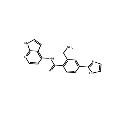 NCc1cc(-c2ncc[nH]2)ccc1C(=O)Nc1ccnc2[nH]ccc12